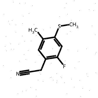 CSc1cc(F)c(CC#N)cc1C